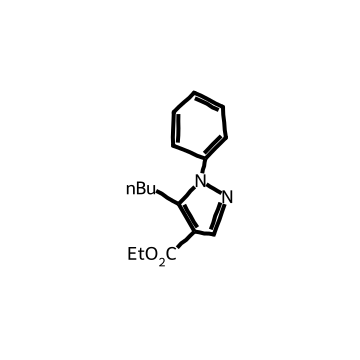 CCCCc1c(C(=O)OCC)cnn1-c1ccccc1